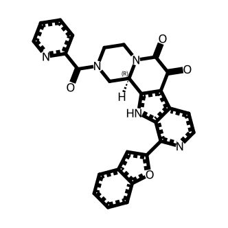 O=C1C(=O)N2CCN(C(=O)c3ccccn3)C[C@@H]2c2[nH]c3c(-c4cc5ccccc5o4)nccc3c21